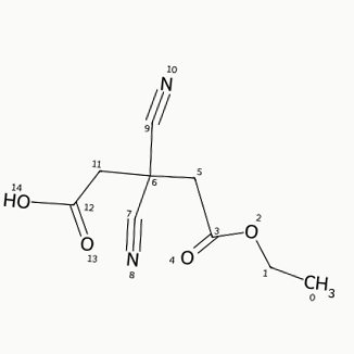 CCOC(=O)CC(C#N)(C#N)CC(=O)O